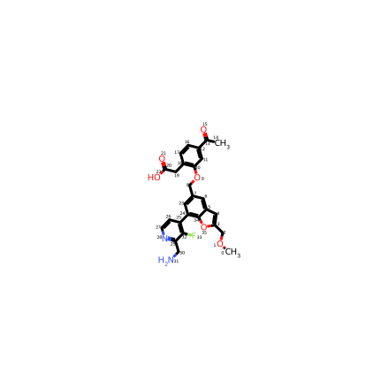 COCc1cc2cc(COc3cc(C(C)=O)ccc3CC(=O)O)cc(-c3ccnc(CN)c3F)c2o1